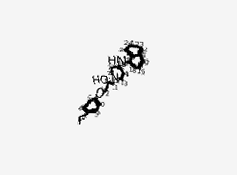 OC(COc1ccc(F)cc1)CN1CCC(Nc2cccc3ccccc23)CC1